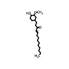 CCCCCCCCC/C=C/C(=O)CCC1CCC(O)C(OC)C1